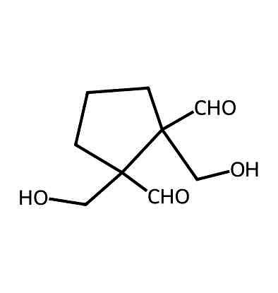 O=CC1(CO)CCCC1(C=O)CO